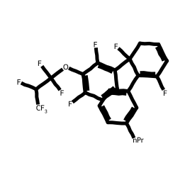 CCCc1cccc(C2=C(F)C=CCC2(F)c2ccc(F)c(OC(F)(F)C(F)C(F)(F)F)c2F)c1